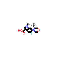 C[C@H]1COCCN1c1cc2c(cc1F)c(C(=O)O)cn2C